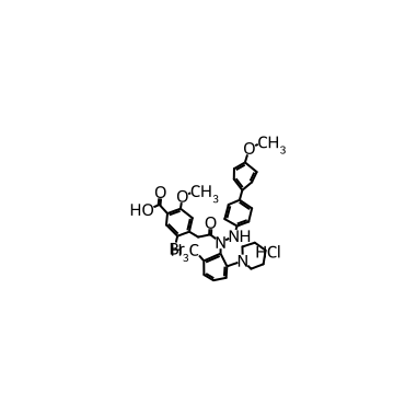 COc1ccc(-c2ccc(NN(C(=O)Cc3cc(OC)c(C(=O)O)cc3Br)c3c(C)cccc3N3CCCCC3)cc2)cc1.Cl